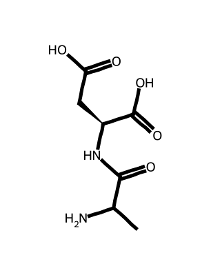 CC(N)C(=O)N[C@@H](CC(=O)O)C(=O)O